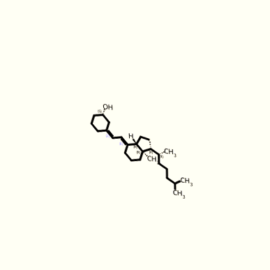 CC(C)CCC[C@@H](C)[C@H]1CC[C@H]2/C(=C/C=C3/CCC[C@H](O)C3)CCC[C@]12C